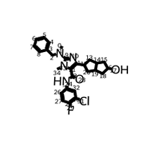 CN(Cc1ccccc1)c1nc(C2CC3CC(O)CC3C2)c(C(=O)Nc2ccc(F)c(Cl)c2)n1C